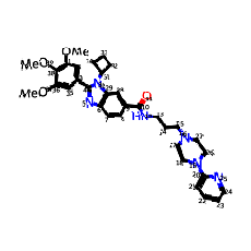 COc1cc(-c2nc3ccc(C(=O)NCCCN4CCN(c5ccccn5)CC4)cc3n2C2CCC2)cc(OC)c1OC